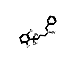 CC(C)N(CCCC(C#N)(c1c(Br)cccc1Br)C(C)C)Cc1ccccc1